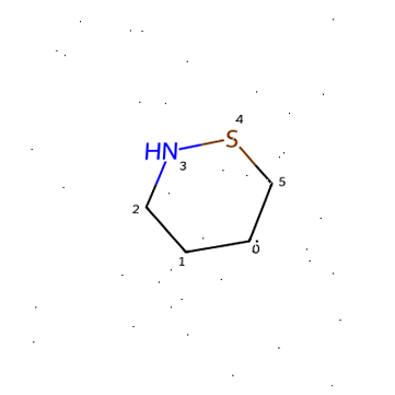 [CH]1CCNSC1